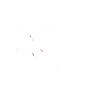 CC1(C)O[C@H]2[C@@H]3OC(C)(C)O[C@H]3[C@H](OC(=O)c3ccccc3)[C@@H](O[Si](C)(C)C(C)(C)C)[C@@H]2O1